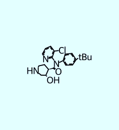 CC(C)(C)c1ccc(N(C(=O)[C@@H]2CCNC[C@@H]2O)c2ncccc2Cl)cc1